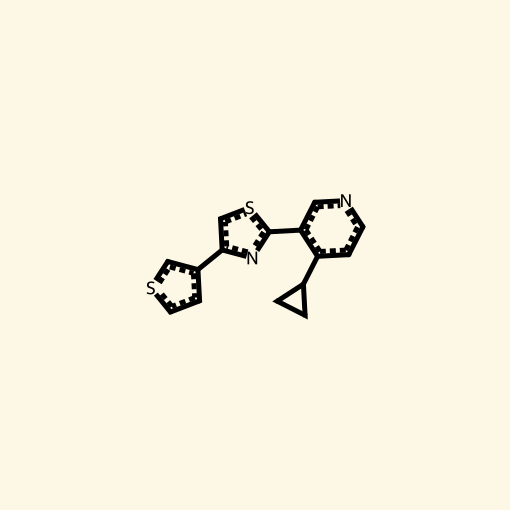 c1cc(C2CC2)c(-c2nc(-c3ccsc3)cs2)cn1